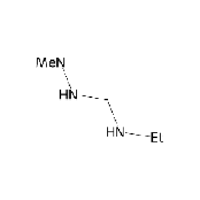 CCNCNNC